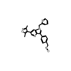 Cc1noc(C)c1-c1cnc2c(-c3ccc(CN=O)cc3)cn(Cc3ccccn3)c2c1